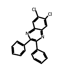 Clc1cc2nc(-c3ccccc3)c(-c3ccccc3)nc2cc1Cl